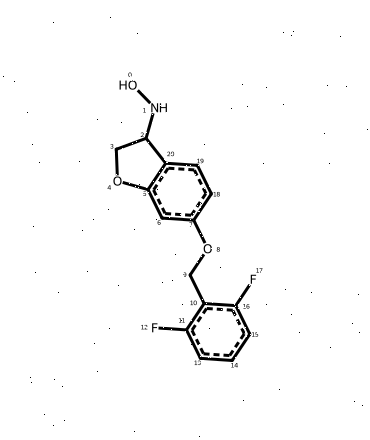 ONC1COc2cc(OCc3c(F)cccc3F)ccc21